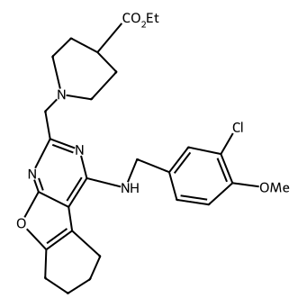 CCOC(=O)C1CCN(Cc2nc(NCc3ccc(OC)c(Cl)c3)c3c4c(oc3n2)CCCC4)CC1